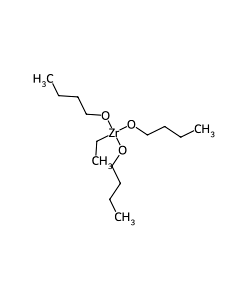 CCCC[O][Zr]([CH2]C)([O]CCCC)[O]CCCC